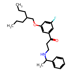 CCCC(CCC)COc1cc(F)cc(C(=O)CCNC(C)c2ccccc2)c1